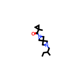 CCC(C)CN1CC2(C1)CN(C(=O)C1(C)CC1)C2